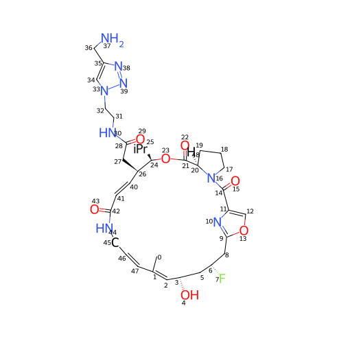 CC1=C\[C@@H](O)C[C@@H](F)Cc2nc(co2)C(=O)N2CCC[C@@H]2C(=O)O[C@H](C(C)C)[C@H](CC(=O)NCCn2cc(CN)nn2)/C=C/C(=O)NC\C=C\1